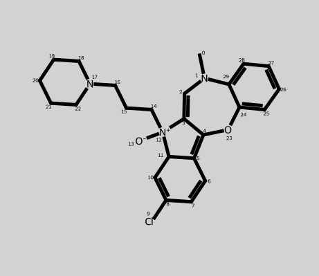 CN1C=C2C(=C3C=CC(Cl)=CC3[N+]2([O-])CCCN2CCCCC2)Oc2ccccc21